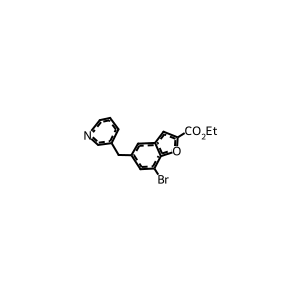 CCOC(=O)c1cc2cc(Cc3cccnc3)cc(Br)c2o1